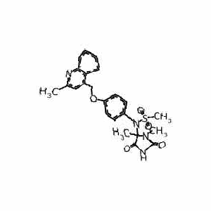 Cc1cc(COc2ccc(N(C3(C)C(=O)NC(=O)N3C)S(C)(=O)=O)cc2)c2ccccc2n1